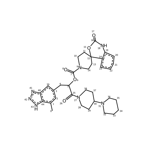 Cc1cc(CC(OC(=O)N2CCC3(CC2)OC(=O)Nc2ccccc23)C(=O)N2CCC(N3CCCCC3)CC2)cc2nn[nH]c12